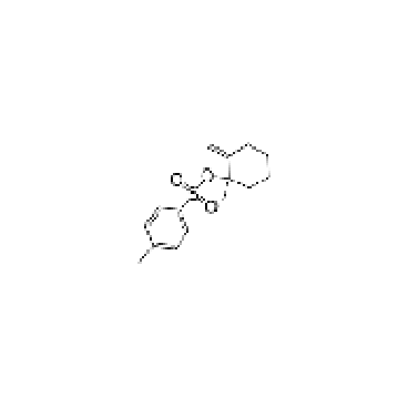 C=C1CCCCC1(C)OS(=O)(=O)c1ccc(C)cc1